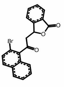 O=C1OC(CC(=O)c2c(Br)ccc3ccccc23)c2ccccc21